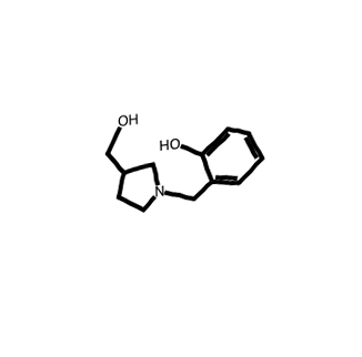 OCC1CCN(Cc2ccccc2O)C1